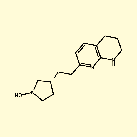 ON1CC[C@@H](CCc2ccc3c(n2)NCCC3)C1